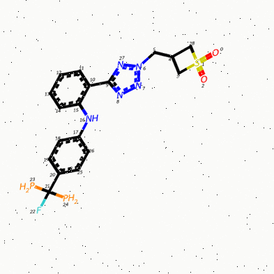 O=S1(=O)CC(Cn2nnc(-c3ccccc3Nc3ccc(C(F)(P)P)cc3)n2)C1